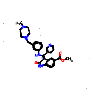 COC(=O)c1ccc2c(c1)/C(=C(/Nc1cccc(CN3CCN(C)CC3)c1)c1cccnc1)C(=O)N2